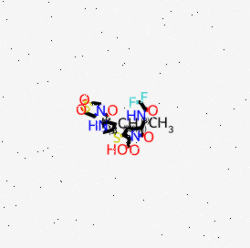 C[C@@H](NC(=O)C(F)F)[C@H]1C(=O)N2C(C(=O)O)=C(S[C@@H]3CN[C@H](C(=O)N4CCS(=O)(=O)CC4)C3)[C@H](C)[C@H]12